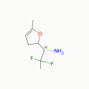 CC1=CCC([C@H](N)C(C)(F)F)O1